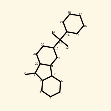 CC1C2CCCCC2C2CC(C(C)(C)C3CCCCC3)CCC12